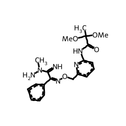 COC(C)(OC)C(=O)Nc1cccc(CO/N=C(\C(=N)N(C)N)c2ccccc2)n1